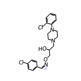 OC(CO/N=C\c1ccc(Cl)cc1)CN1CCN(c2ccccc2Cl)CC1